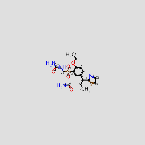 CCOc1ccc(C(CC)c2nccs2)cc1S(=O)(=O)CNC(N)=O.NC=O